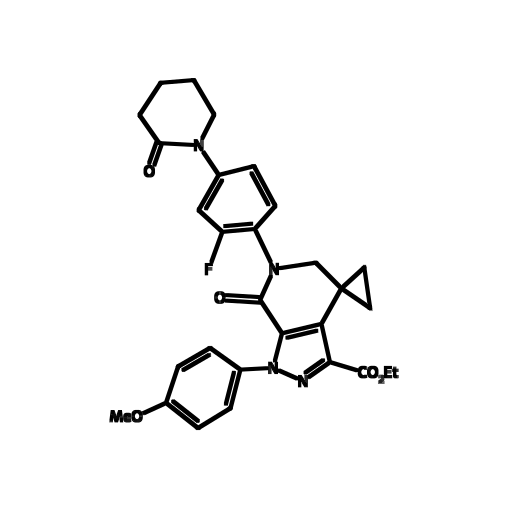 CCOC(=O)c1nn(-c2ccc(OC)cc2)c2c1C1(CC1)CN(c1ccc(N3CCCCC3=O)cc1F)C2=O